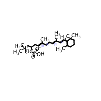 CC1=C(/C=C/C(C)=C/C=C/C(C)=C/CC(C[N+](C)(C)C)OP(=O)([O-])O)C(C)(C)CCC1